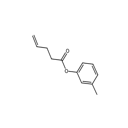 C=CCCC(=O)Oc1cccc(C)c1